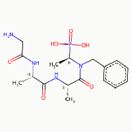 C[C@H](NC(=O)CN)C(=O)N[C@@H](C)C(=O)N(Cc1ccccc1)[C@@H](C)P(=O)(O)O